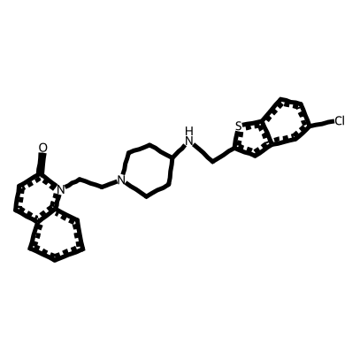 O=c1ccc2ccccc2n1CCN1CCC(NCc2cc3cc(Cl)ccc3s2)CC1